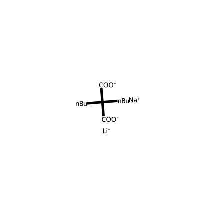 CCCCC(CCCC)(C(=O)[O-])C(=O)[O-].[Li+].[Na+]